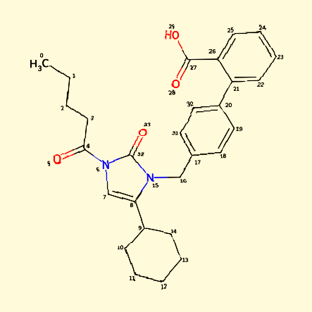 CCCCC(=O)n1cc(C2CCCCC2)n(Cc2ccc(-c3ccccc3C(=O)O)cc2)c1=O